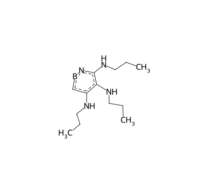 CCCNc1cbnc(NCCC)c1NCCC